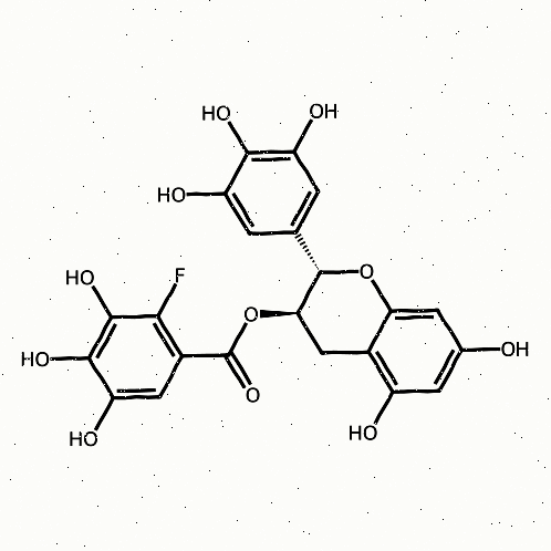 O=C(O[C@@H]1Cc2c(O)cc(O)cc2O[C@H]1c1cc(O)c(O)c(O)c1)c1cc(O)c(O)c(O)c1F